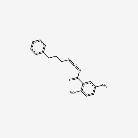 Nc1ccc(O)c(C(=O)N=[N+]=NCCCc2ccccc2)c1